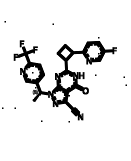 C[C@@H](c1ccc(C(F)(F)F)nc1)n1nc(C#N)c2c(=O)[nH]c(C3CCC3c3ccc(F)cn3)nc21